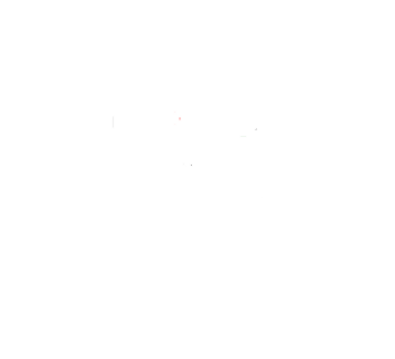 CCOC(F)(F)C(C(F)(F)F)C(F)(F)F